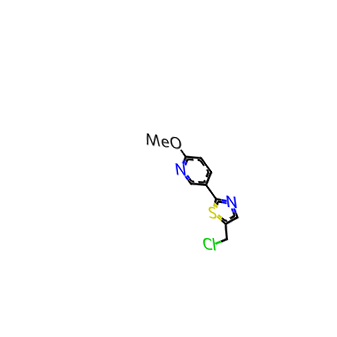 COc1ccc(-c2ncc(CCl)s2)cn1